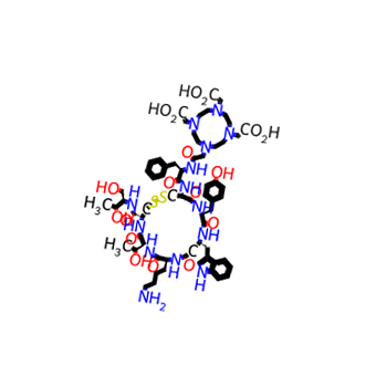 CC(O)[C@@H]1NC(=O)[C@H](CCCCN)NC(=O)C[C@@H](Cc2c[nH]c3ccccc23)NC(=O)[C@H](Cc2ccc(O)cc2)NC(=O)[C@@H](NC(=O)[C@@H](Cc2ccccc2)NC(=O)CN2CCN(CC(=O)O)CCN(CC(=O)O)CCN(CC(=O)O)CC2)CSSC[C@@H](C(=O)N[C@H](CO)C(C)O)NC1=O